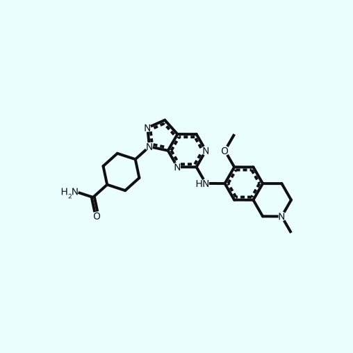 COc1cc2c(cc1Nc1ncc3cnn(C4CCC(C(N)=O)CC4)c3n1)CN(C)CC2